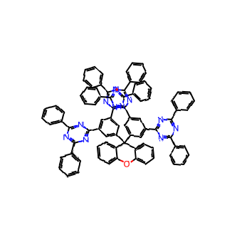 c1ccc(-c2nc(-c3ccccc3)nc(-c3cc(-c4nc(-c5ccccc5)nc(-c5ccccc5)n4)cc(C4(c5cc(-c6nc(-c7ccccc7)nc(-c7ccccc7)n6)cc(-c6nc(-c7ccccc7)nc(-c7ccccc7)n6)c5)c5ccccc5Oc5ccccc54)c3)n2)cc1